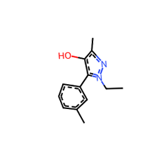 CCn1nc(C)c(O)c1-c1cccc(C)c1